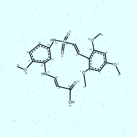 COc1cc(OC)c(/C=C/S(=O)(=O)Nc2ccc(OC)c(N/C=C/C(=O)O)c2)c(OC)c1